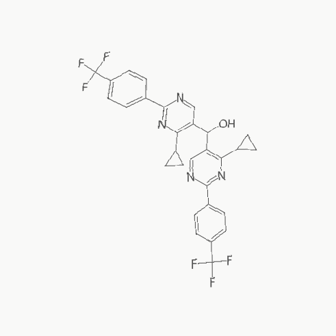 OC(c1cnc(-c2ccc(C(F)(F)F)cc2)nc1C1CC1)c1cnc(-c2ccc(C(F)(F)F)cc2)nc1C1CC1